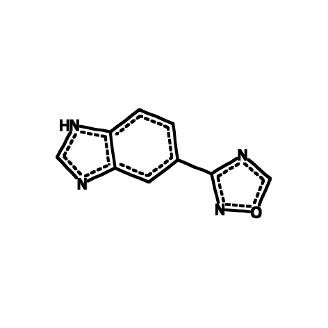 c1nc2cc(-c3ncon3)ccc2[nH]1